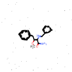 COC(Cc1ccccc1)C(NCc1ccccc1)C(N)=O